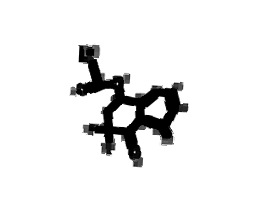 CCC(=O)OC1CC(F)(F)C(=O)c2c(C)cccc21